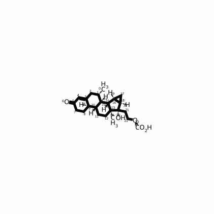 C[C@H]1CC2=CC(=O)CC[C@@H]2[C@H]2CC[C@@]3(C)[C@@H]([C@H]4C[C@H]4[C@@]3(O)CCOC(=O)O)[C@@H]21